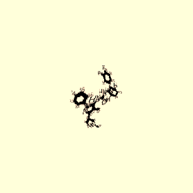 Cc1c(-c2cnn(C)c2)nn(-c2ccccc2)c1NC(=O)N[C@H]1[C@H](c2ccc(F)c(F)c2)[C@@H]2CC[C@H]1N2